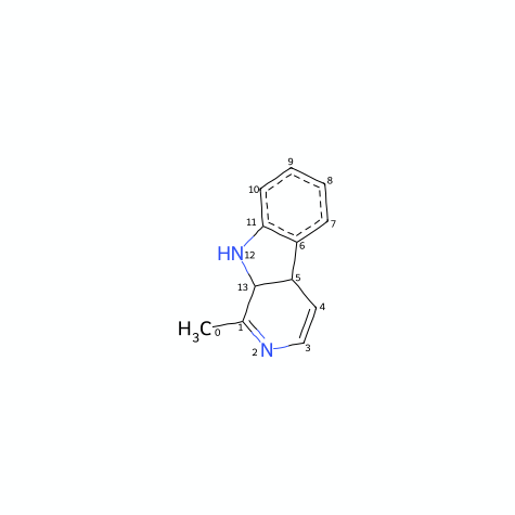 CC1=NC=CC2c3ccccc3NC12